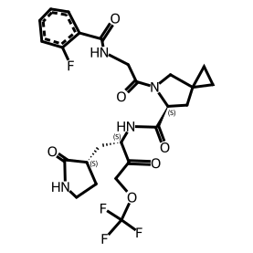 O=C(NCC(=O)N1CC2(CC2)C[C@H]1C(=O)N[C@@H](C[C@@H]1CCNC1=O)C(=O)COC(F)(F)F)c1ccccc1F